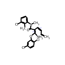 C=C/C=C\C(C(=O)N(C)c1cccc(Cl)c1C)=C(/N)Oc1cc(Cl)ccc1Cl